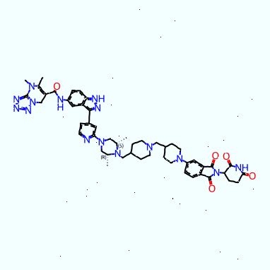 CC1=C(C(=O)Nc2ccc3[nH]nc(-c4ccnc(N5C[C@@H](C)N(CC6CCN(CC7CCN(c8ccc9c(c8)C(=O)N(C8CCC(=O)NC8=O)C9=O)CC7)CC6)[C@@H](C)C5)c4)c3c2)Cn2nnnc2N1C